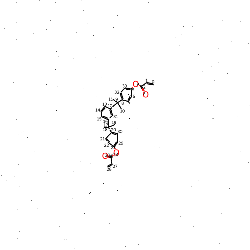 C=CC(=O)Oc1ccc(C(C)(C)c2cccc(C(C)(C)c3ccc(OC(=O)C=C)cc3)c2)cc1